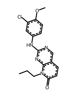 CCCn1c(=O)ccc2cnc(Nc3ccc(OC)c(Cl)c3)nc21